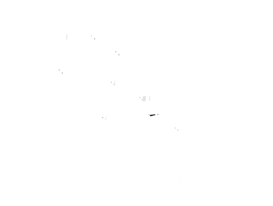 CCN1/C(=C(\C#N)c2ccnc(NC(=O)[C@H]3CSCN3C(=O)OC(C)(C)C)n2)Nc2ccccc21